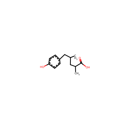 CC(Cc1ccc(O)cc1)CC(C)C(=O)O